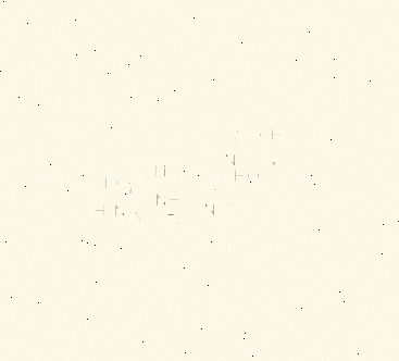 C[C@H](C(=O)N1CC[C@@H](C(=O)N2CC[C@@H](C(=O)N[C@H](C(N)=O)[C@@H](C)O)C2)C1)[C@@H](C)O